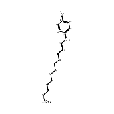 CCCCCCCCCCCCCCCCCCCCCOc1ccc(C(C)=O)cc1